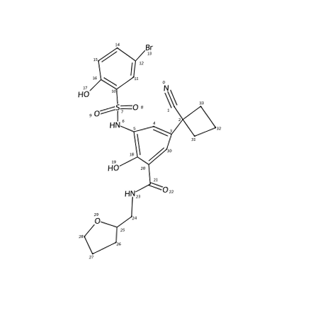 N#CC1(c2cc(NS(=O)(=O)c3cc(Br)ccc3O)c(O)c(C(=O)NCC3CCCO3)c2)CCC1